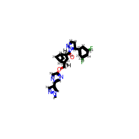 Cn1cc(-c2cnc(OC[C@@H]3C[C@H](C(=O)N4N=CCC4c4cc(F)cc(F)c4)C4CC3C4)cn2)cn1